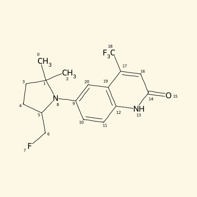 CC1(C)CCC(CF)N1c1ccc2[nH]c(=O)cc(C(F)(F)F)c2c1